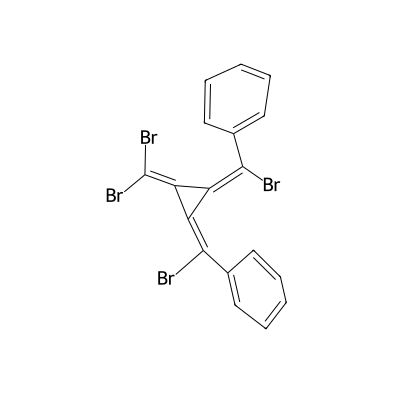 BrC(Br)=C1C(=C(\Br)c2ccccc2)/C1=C(\Br)c1ccccc1